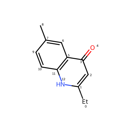 CCc1cc(=O)c2cc(C)ccc2[nH]1